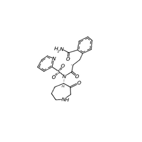 NC(=O)c1ccccc1C[CH]C(=O)N([C@H]1CCCNCC1=O)S(=O)(=O)c1ccccn1